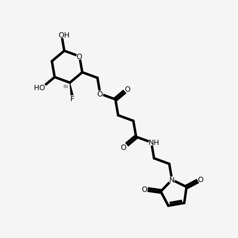 O=C(CCC(=O)OCC1OC(O)CC(O)[C@@H]1F)NCCN1C(=O)C=CC1=O